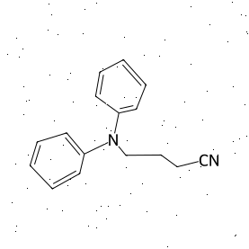 N#CCCCN(c1ccccc1)c1ccccc1